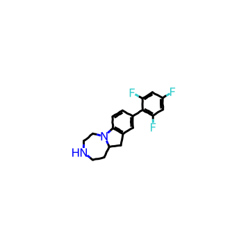 Fc1cc(F)c(-c2ccc3c(c2)CC2CCNCCN32)c(F)c1